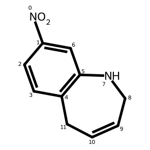 O=[N+]([O-])c1ccc2c(c1)NCC=CC2